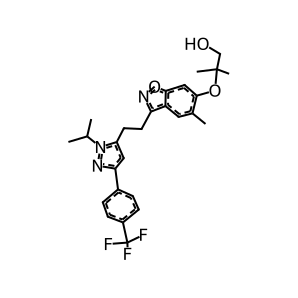 Cc1cc2c(CCc3cc(-c4ccc(C(F)(F)F)cc4)nn3C(C)C)noc2cc1OC(C)(C)CO